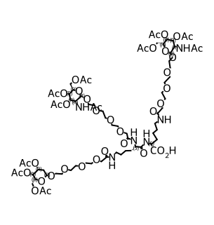 CC(=O)N[C@H]1[C@H](OCCOCCOCCOCC(=O)NCCCC[C@H](NC(=O)[C@H](CCCCNC(=O)COCCOCCOCCO[C@H]2C[C@@H](OC(C)=O)[C@@H](OC(C)=O)[C@@H](COC(C)=O)O2)NC(=O)COCCOCCOCCO[C@@H]2O[C@H](COC(C)=O)[C@H](OC(C)=O)[C@H](OC(C)=O)[C@H]2NC(C)=O)C(=O)O)O[C@H](COC(C)=O)[C@H](OC(C)=O)[C@@H]1OC(C)=O